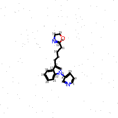 c1cncc(-n2cc(CCCCC3=NCCO3)c3ccccc32)c1